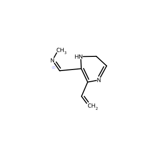 C=CC1=C(/C=N\C)NCC=N1